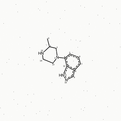 CC1CN(c2cccc3cn[nH]c23)CCN1